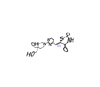 O=C1NC(=O)/C(=C/c2ccnc(N3CCC(CO)(CO)CC3)n2)S1